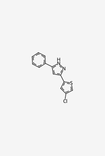 Clc1csc(-c2cc(-c3ccccc3)[nH]n2)c1